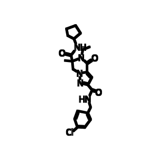 CCN1C(=O)c2cc(C(=O)NCc3ccc(Cl)cc3)nn2CC1(C)C(=O)NC1CCCC1